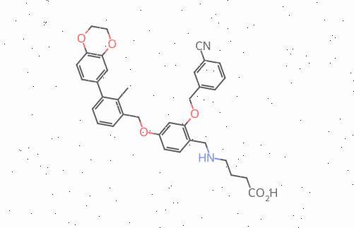 Cc1c(COc2ccc(CNCCCC(=O)O)c(OCc3cccc(C#N)c3)c2)cccc1-c1ccc2c(c1)OCCO2